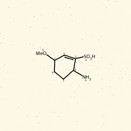 COC1C=C(S(=O)(=O)O)C(N)CC1